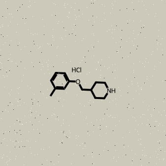 Cc1cccc(OCC2CCNCC2)c1.Cl